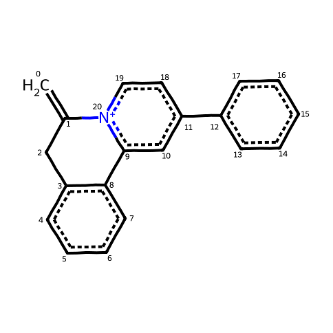 C=C1Cc2ccccc2-c2cc(-c3ccccc3)cc[n+]21